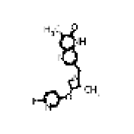 Cc1cc2ncc(CN3C[C@H](Oc4ccc(F)nc4)[C@H]3C)cc2[nH]c1=O